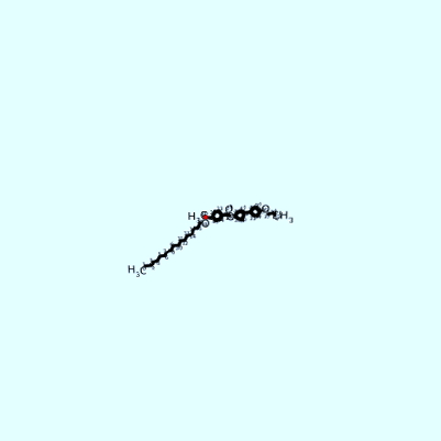 CCCCCCCCCCCCCCCCCCOC(C)c1ccc(C(=O)Oc2ccc(-c3ccc(OCCC)cc3)cc2)cc1